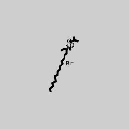 C=C(C)C(=O)O[N+](C)(C)C(CC)CCCCCCCCCCCCCCC.[Br-]